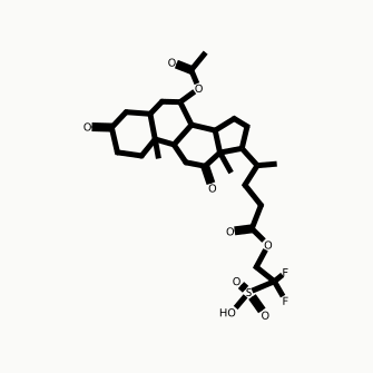 CC(=O)OC1CC2CC(=O)CCC2(C)C2CC(=O)C3(C)C(C(C)CCC(=O)OCC(F)(F)S(=O)(=O)O)CCC3C12